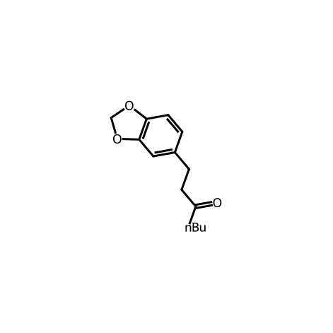 CCCCC(=O)CCc1ccc2c(c1)OCO2